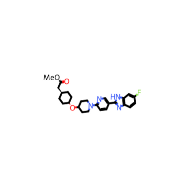 COC(=O)C[C@H]1CC[C@H](OC2CCN(c3ccc(-c4nc5ccc(F)cc5[nH]4)cn3)CC2)CC1